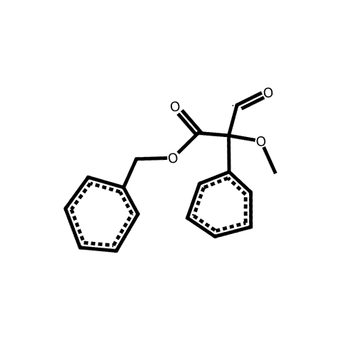 COC([C]=O)(C(=O)OCc1ccccc1)c1ccccc1